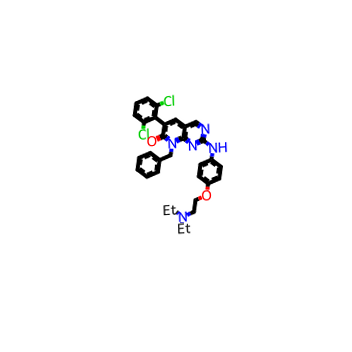 CCN(CC)CCOc1ccc(Nc2ncc3cc(-c4c(Cl)cccc4Cl)c(=O)n(Cc4ccccc4)c3n2)cc1